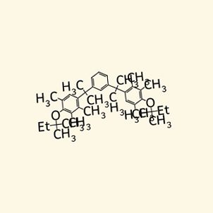 CCC(C)(C)Oc1c(C)cc(C(C)(C)c2cccc(C(C)(C)c3cc(C)c(OC(C)(C)CC)c(C)c3C)c2)c(C)c1C